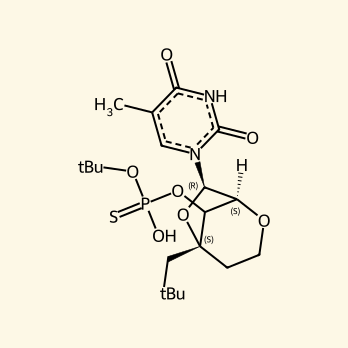 Cc1cn([C@@H]2O[C@@]3(CC(C)(C)C)CCO[C@H]2C3OP(O)(=S)OC(C)(C)C)c(=O)[nH]c1=O